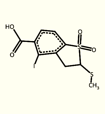 CSC1Cc2c(ccc(C(=O)O)c2I)S1(=O)=O